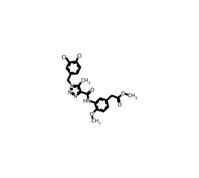 COC(=O)Cc1ccc(OC)c(NC(=O)c2nnn(Cc3ccc(Cl)c(Cl)c3)c2C)c1